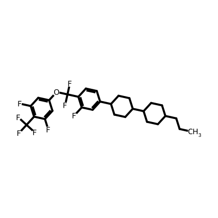 CCCC1CCC(C2CCC(c3ccc(C(F)(F)Oc4cc(F)c(C(F)(F)F)c(F)c4)c(F)c3)CC2)CC1